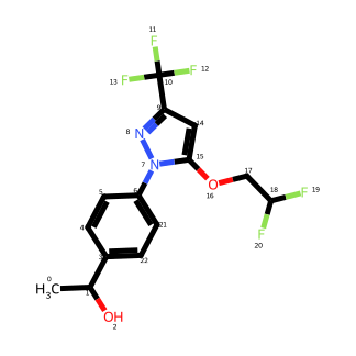 CC(O)c1ccc(-n2nc(C(F)(F)F)cc2OCC(F)F)cc1